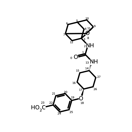 O=C(NC12CC3CC(CC(C3)O1)C2)N[C@H]1CC[C@H](Oc2ccc(C(=O)O)cc2)CC1